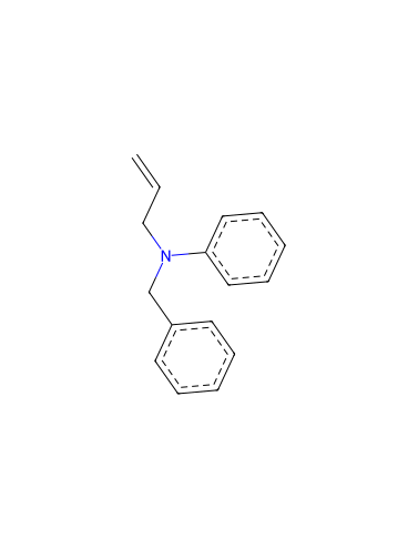 C=CCN(Cc1ccccc1)c1ccccc1